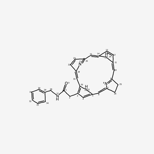 O=C(Cc1cc2cc3nc(cc4ccc(cc5nc(cc1[nH]2)C=C5)[nH]4)CC3)NCc1ccccc1